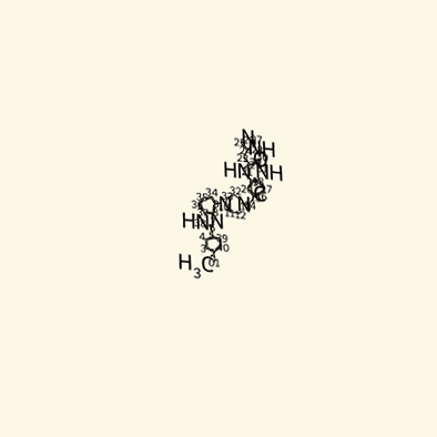 CCc1ccc(-c2nc3c(N4CCN(Cc5ccc6c(c5)NC(Cc5cnc[nH]5)C(=O)N6)CC4)cccc3[nH]2)cc1